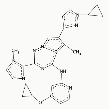 Cc1c(-c2ccn(C3CC3)n2)cn2nc(-c3nccn3C)nc(Nc3cc(OC4CC4)ccn3)c12